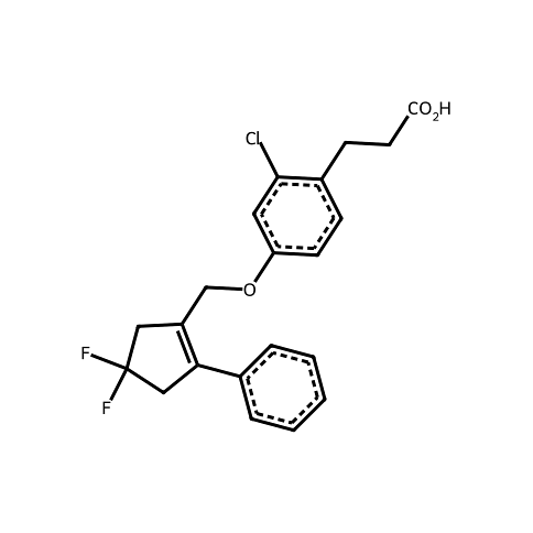 O=C(O)CCc1ccc(OCC2=C(c3ccccc3)CC(F)(F)C2)cc1Cl